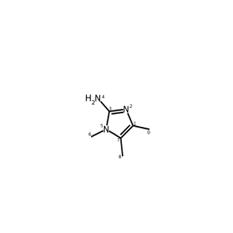 Cc1nc(N)n(C)c1C